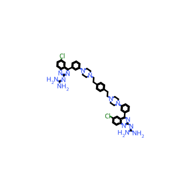 NC(N)=Nc1nc(-c2cccc(N3CCN(CCc4ccc(CCN5CCN(c6cccc(-c7nc(N=C(N)N)nc8ccc(Cl)cc78)c6)CC5)cc4)CC3)c2)c2cc(Cl)ccc2n1